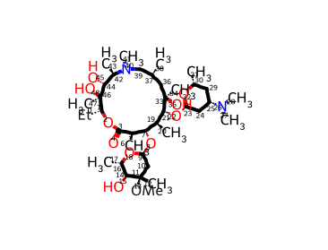 CC[C@H]1OC(=O)[C@H](C)[C@@H](O[C@H]2C[C@@](C)(OC)[C@@H](O)[C@H](C)O2)[C@H](C)[C@@H](O[C@H]2C[C@@H](N(C)C)C[C@@H](C)O2)[C@](C)(O)C[C@@H](C)CN(C)[C@H](C)[C@@H](O)[C@]1(C)O